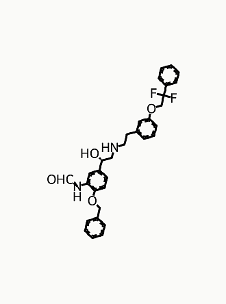 O=CNc1cc([C@@H](O)CNCCc2cccc(OCC(F)(F)c3ccccc3)c2)ccc1OCc1ccccc1